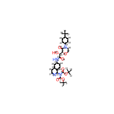 CC(C)(C)OC(=O)N(C(=O)OC(C)(C)C)c1nccc2cc(NC(=O)[C@H](O)[C@H]3OCCN(c4ccc(C(C)(C)C)cc4)C3=O)ccc12